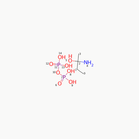 CCC(C)(N)O.O=P(O)(O)OP(=O)(O)O